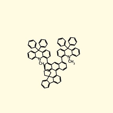 CN1c2ccccc2C(c2ccccc2)(c2ccccc2)c2cccc(-c3cccc4c(-c5cccc6c5C5(CCCC5)c5ccccc5-6)c5cccc(-c6cccc7c6N(C)c6ccccc6C7(c6ccccc6)c6ccccc6)c5cc34)c21